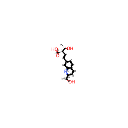 C[C@H](O)[C@@H](/C=C/c1ccc2ccc([C@@H](C)O)nc2c1)C(=O)O